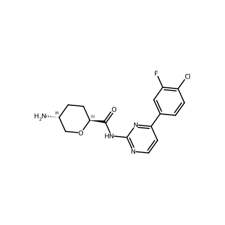 N[C@@H]1CC[C@@H](C(=O)Nc2nccc(-c3ccc(Cl)c(F)c3)n2)OC1